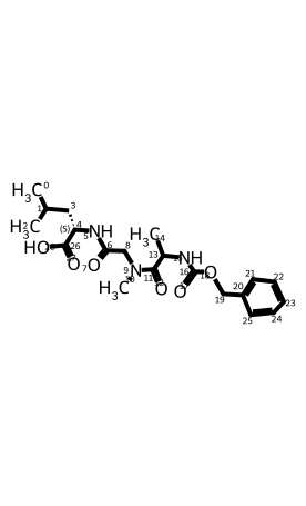 CC(C)C[C@H](NC(=O)CN(C)C(=O)C(C)NC(=O)OCc1ccccc1)C(=O)O